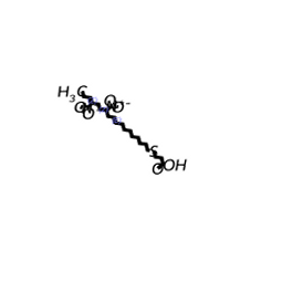 CC/C=C(/C/C=C(/C/C=C/CCCCCCCCSCCC(=O)O)[N+](=O)[O-])[N+](=O)[O-]